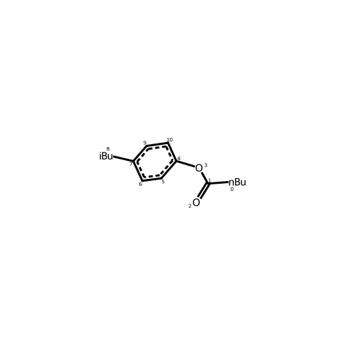 CCCCC(=O)Oc1ccc(C(C)CC)cc1